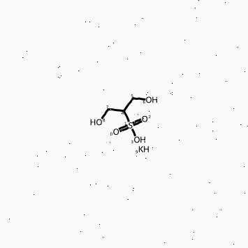 O=S(=O)(O)C(CO)CO.[KH]